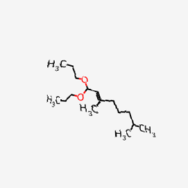 CCCOC(/C=C(\C)CCCC(C)C)OCCC